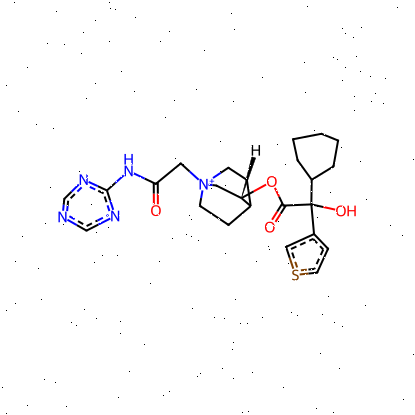 O=C(C[N+]12CCC(CC1)[C@@H](OC(=O)C(O)(c1ccsc1)C1CCCCC1)C2)Nc1ncncn1